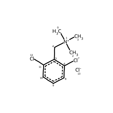 C[N+](C)(C)Cc1c(Cl)cccc1Cl.[Cl-]